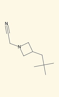 CC(C)(C)CC1CN(CC#N)C1